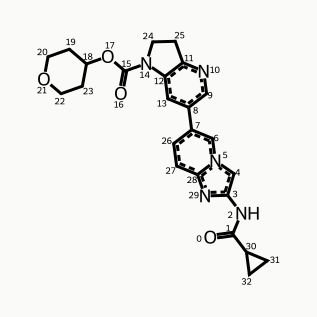 O=C(Nc1cn2cc(-c3cnc4c(c3)N(C(=O)OC3CCOCC3)CC4)ccc2n1)C1CC1